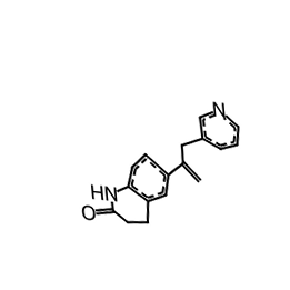 C=C(Cc1cccnc1)c1ccc2c(c1)CCC(=O)N2